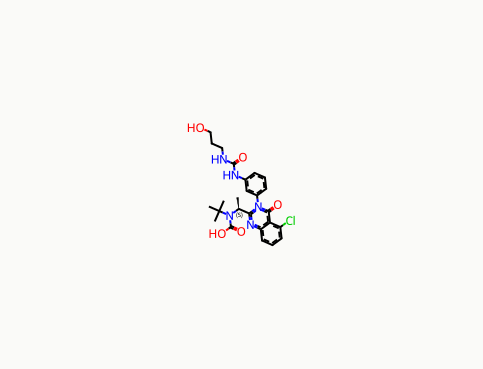 C[C@@H](c1nc2cccc(Cl)c2c(=O)n1-c1cccc(NC(=O)NCCCO)c1)N(C(=O)O)C(C)(C)C